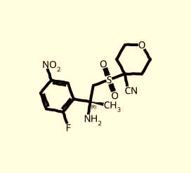 C[C@](N)(CS(=O)(=O)C1(C#N)CCOCC1)c1cc([N+](=O)[O-])ccc1F